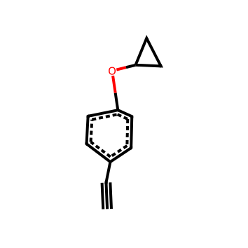 C#Cc1ccc(OC2CC2)cc1